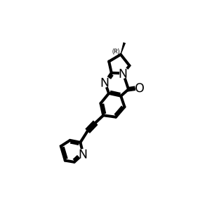 C[C@@H]1Cc2nc3cc(C#Cc4ccccn4)ccc3c(=O)n2C1